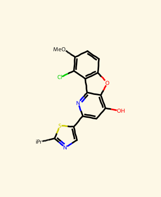 COc1ccc2oc3c(O)cc(-c4cnc(C(C)C)s4)nc3c2c1Cl